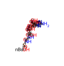 CCCCC(O)CC(=O)SCCNC(=O)CCNC(=O)[C@H](O)C(C)(C)COP(=O)(O)OP(=O)(O)OC[C@H]1O[C@@H](n2cnc3c(N)ncnc32)[C@H](O)[C@@H]1OP(=O)(O)O